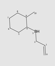 C=CCBC1CCCCC1C